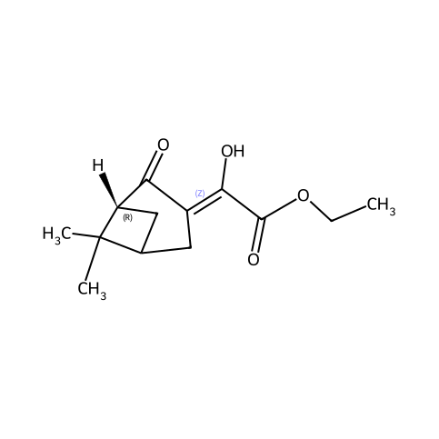 CCOC(=O)/C(O)=C1\CC2C[C@@H](C1=O)C2(C)C